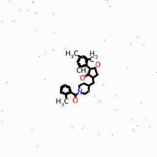 Cc1cc(C)c(C2C(=O)CC(CC3CCN(C(=O)c4ccccc4C)CC3)C2=O)c(C)c1